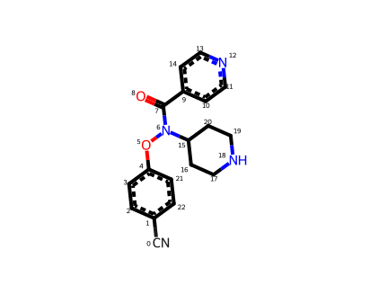 N#Cc1ccc(ON(C(=O)c2ccncc2)C2CCNCC2)cc1